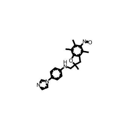 Cc1c(C)c2c(c(C)c1N=O)CC(C)(CNc1ccc(-n3ccnc3)cc1)O2